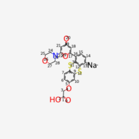 O=C(O)COc1ccc2c(c1)Sc1cccc(-c3cc(=O)cc(N4CCOCC4)o3)c1S2.[Na]